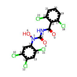 O=C(NC(=O)N(O)c1cc(Cl)c(Cl)cc1Cl)c1c(Cl)cccc1Cl